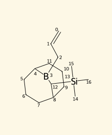 C=CCB1C2CCCC(CCC2)C1[Si](C)(C)C